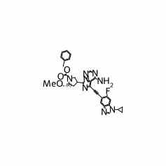 COC[C@H]1CC(c2nc(C#Cc3cc4ncn(C5CC5)c4cc3F)c3c(N)ncnn23)CN1C(=O)OCc1ccccc1